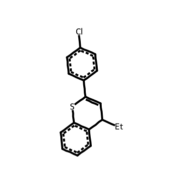 CCC1C=C(c2ccc(Cl)cc2)Sc2ccccc21